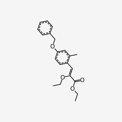 CCOC(=O)C(=Cc1ccc(OCc2ccccc2)cc1C)OCC